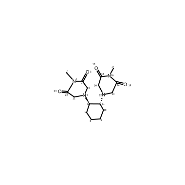 CN1C(=O)CN([C@@H]2CCCC[C@H]2N2CC(=O)N(C)C(=O)C2)CC1=O